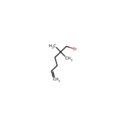 C=CCCC(C)(C)CBr